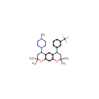 CN1CCN(C2CC(C)(C)Oc3cc4c(cc32)C(c2cccc(C(F)(F)F)c2)CC(C)(C)O4)CC1